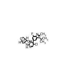 Cc1nc2c(F)cc(-c3nc(N[C@@H]4C[C@H]5OC[C@H](O5)[C@H]4O)ncc3Cl)cc2n1C(C)C